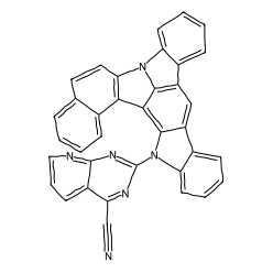 N#Cc1nc(-n2c3ccccc3c3cc4c5ccccc5n5c6ccc7ccccc7c6c(c32)c45)nc2ncccc12